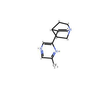 FC(F)(F)c1cncc(C2=CN3CCC2CC3)n1